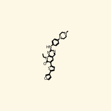 CCn1c(=O)c(-c2ccc(-c3ccoc3)s2)cc2cnc(Nc3ccc(N4CCN(C)CC4)cc3)nc21